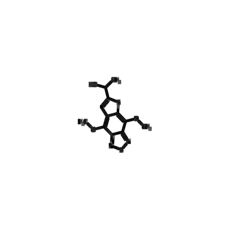 COc1c2cc(C(C)O)sc2c(OC)c2nsnc12